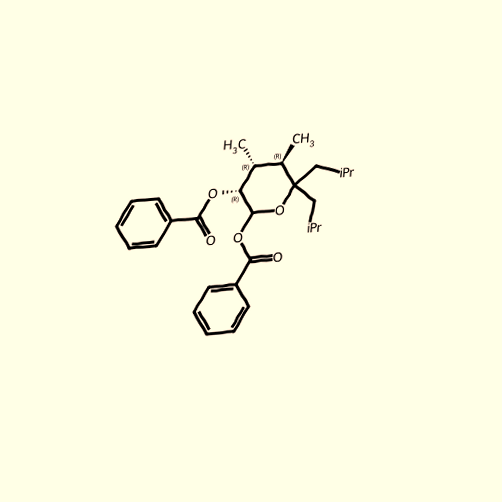 CC(C)CC1(CC(C)C)OC(OC(=O)c2ccccc2)[C@H](OC(=O)c2ccccc2)[C@H](C)[C@H]1C